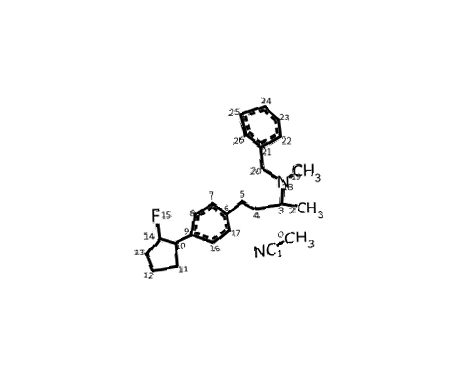 CC#N.CC(CCc1ccc(C2CCCC2F)cc1)N(C)Cc1ccccc1